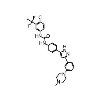 CN1CCN(c2cccc(-c3cc(-c4ccc(NC(=O)Nc5ccc(Cl)c(C(F)(F)F)c5)cc4)[nH]n3)c2)CC1